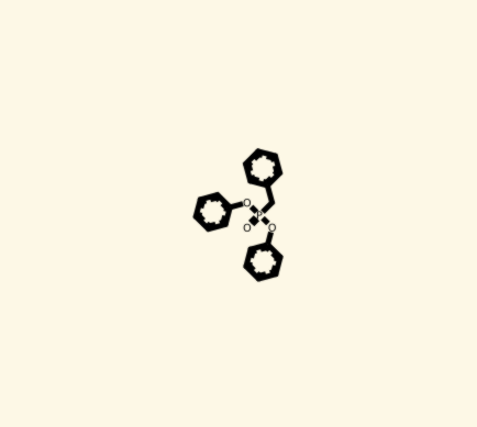 O=P(Cc1cc[c]cc1)(Oc1ccccc1)Oc1ccccc1